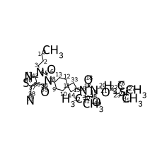 CCCCn1c(=O)n(C2CCC3(CC2)CC(N2C(=O)N(COCC[Si](C)(C)C)C(=O)C2(C)C)C3)c(=O)c2c(C#N)snc21